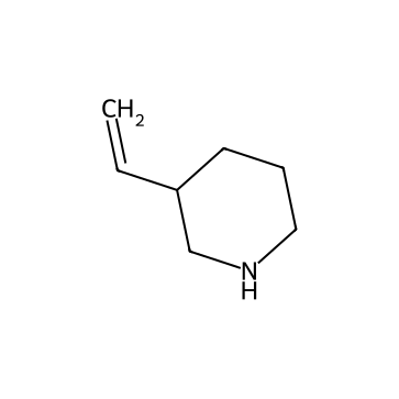 C=CC1CCCNC1